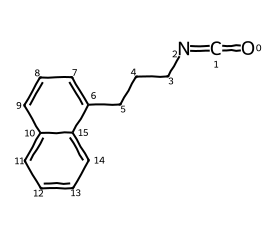 O=C=NCCCc1cccc2ccccc12